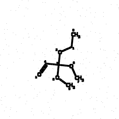 CCOC(C=O)(OC)OC